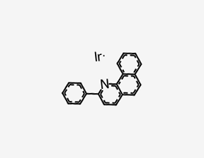 [Ir].c1ccc(-c2ccc3ccc4ccccc4c3n2)cc1